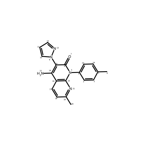 Cc1ccc(-n2c(=O)c(-n3cccn3)c(N)c3ccc(C)nc32)cc1